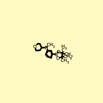 CN(c1cccc(B2OC(C)(C)C(C)(C)O2)c1)C1CCOCC1